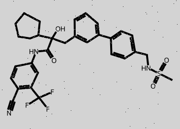 CS(=O)(=O)NCc1ccc(-c2cccc(CC(O)(C(=O)Nc3ccc(C#N)c(C(F)(F)F)c3)C3CCCCC3)c2)cc1